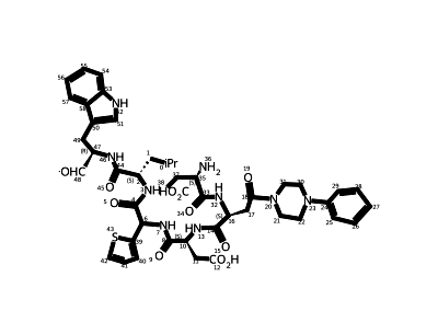 CC(C)C[C@H](NC(=O)C(NC(=O)[C@H](CC(=O)O)NC(=O)[C@H](CC(=O)N1CCN(c2ccccc2)CC1)NC(=O)[C@@H](N)CC(=O)O)c1cccs1)C(=O)N[C@@H]([C]=O)Cc1c[nH]c2ccccc12